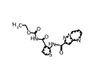 CCOC(=O)NC(=O)c1ccsc1NC(=O)c1cc2ncccn2n1